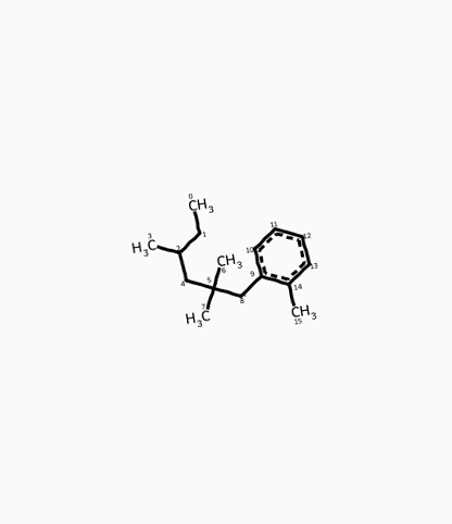 CCC(C)CC(C)(C)[CH]c1ccccc1C